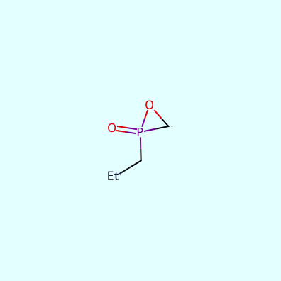 CCCP1(=O)[CH]O1